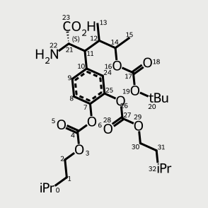 CC(C)CCOC(=O)Oc1ccc(C(C(C)C(C)OC(=O)OC(C)(C)C)[C@H](N)C(=O)O)cc1OC(=O)OCCC(C)C